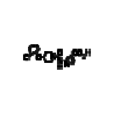 O=C(O)c1ccnc(NC(=O)N2CCC(Oc3ccccc3Cl)CC2)c1